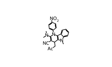 CC(=O)CC1C(C#N)=C(N(C)C)N(c2ccc([N+](=O)[O-])cc2)c2c1n(C)c1ccccc21